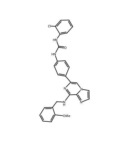 COc1ccccc1CNc1nc(-c2ccc(NC(=O)Nc3ccccc3Cl)cc2)cn2ccnc12